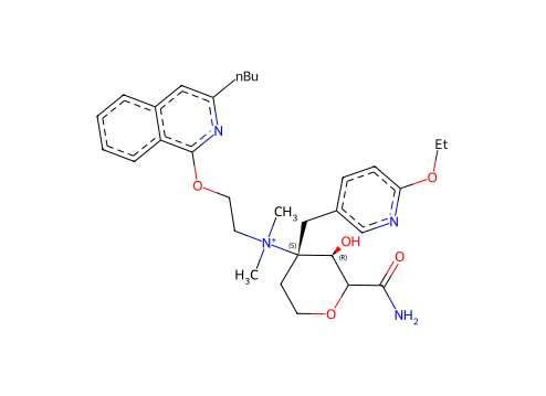 CCCCc1cc2ccccc2c(OCC[N+](C)(C)[C@@]2(Cc3ccc(OCC)nc3)CCOC(C(N)=O)[C@@H]2O)n1